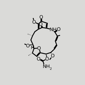 COC1=C2C[C@@H](C)C[C@H](OC)[C@@H]3OC(=C[C@@H]3C)[C@H](OC(N)=O)[C@@H](OC)/C=C\C=C(/C)C(=O)NC(=CC1=O)C2=O